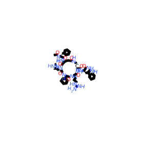 CC(=O)N[C@H](Cc1ccccc1)C(=O)N[C@H]1CCC(=O)NCC[C@@H](C(=O)N[C@@H](Cc2c[nH]c3ccccc23)C(N)=O)NC(=O)[C@H](CCCNC(=N)N)NC(=O)C(c2ccccc2)NC(=O)[C@H](Cc2c[nH]cn2)NC1=O